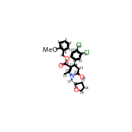 COc1ccccc1COC(=O)C1=C(C)N(C[C@@H]2CCCO2)C(=O)C[C@@H]1c1ccc(Cl)c(Cl)c1